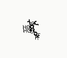 CCCC(CC)Oc1cc(C=Cc2ccc(C(F)(F)F)cc2)c(C(=O)O)c(O)c1CC=C(C)C